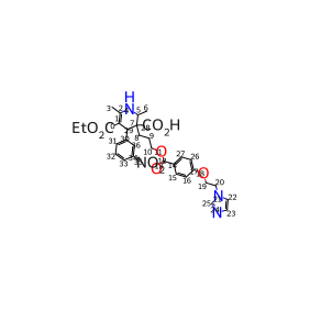 CCOC(=O)C1=C(C)NC(C)C(CCCOC(=O)c2ccc(OCCn3ccnc3)cc2)(C(=O)O)C1c1cccc([N+](=O)[O-])c1